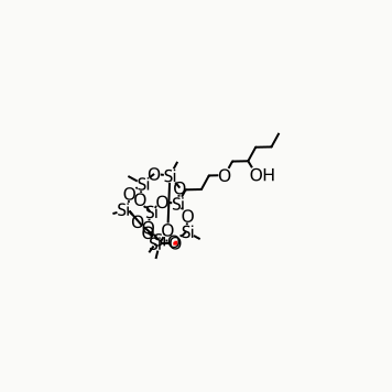 CCCC(O)COCCC[Si]12O[Si]3(C)O[Si]4(C)O[Si]5(C)O[Si](C)(O3)O[Si](C)(O[Si](C)(O5)O[Si](C)(O4)O1)O2